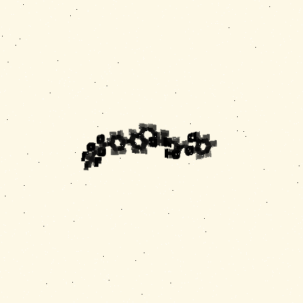 O=C(OC(=O)C(F)(F)F)c1ccc(-c2ccc3c(c2)CC[C@H](CNC[C@H](O)COc2ccccc2Cl)O3)cc1